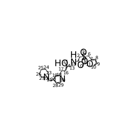 O=C(CS(=O)(=O)Cc1ccco1)NCC(O)=CCc1cc(CN2CCCCC2)ccn1